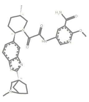 COc1ncc(NC(=O)C(=O)N2C[C@@H](C)CC[C@@H]2c2ccc3sc([C@]45CCC(C4)N(C)C5)nc3c2)cc1C(N)=O